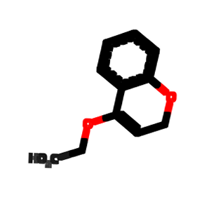 O=C(O)COC1=CCOc2ccccc21